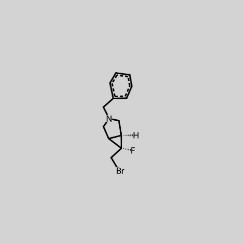 F[C@]1(CBr)C2CN(Cc3ccccc3)C[C@H]21